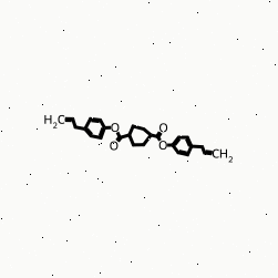 C=CCc1ccc(OC(=O)C2CCC(C(=O)Oc3ccc(CC=C)cc3)CC2)cc1